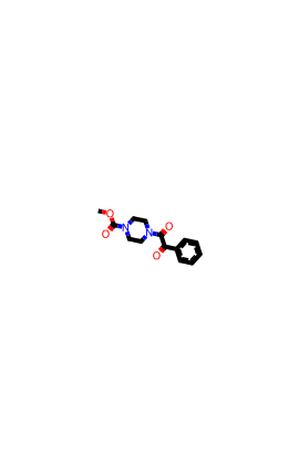 COC(=O)N1CCN(C(=O)C(=O)c2ccccc2)CC1